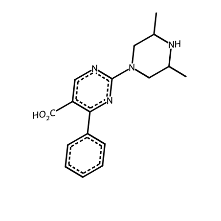 CC1CN(c2ncc(C(=O)O)c(-c3ccccc3)n2)CC(C)N1